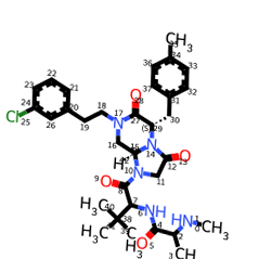 CNC(C)C(=O)NC(C(=O)N1CC(=O)N2[C@@H]1CN(CCc1cccc(Cl)c1)C(=O)[C@@H]2Cc1ccc(C)cc1)C(C)(C)C